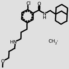 COCCCNCCCc1ccc(Cl)c(C(=O)NCC23CCCC(CCC2)C3)c1.[CH2]